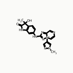 Cn1cc([N+]23C=CN=CC2=NC(Nc2ccc4c(c2)NC(=O)C4(C)O)=N3)cn1